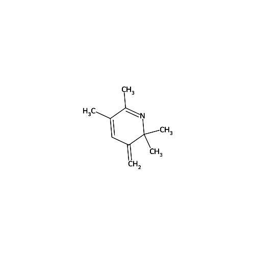 C=C1C=C(C)C(C)=NC1(C)C